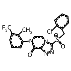 Cc1c(-n2ccn3c(S(=O)(=O)Cc4ccccc4Cl)nnc3c2=O)cccc1C(F)(F)F